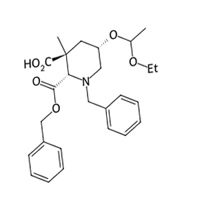 CCOC(C)O[C@@H]1CN(Cc2ccccc2)[C@H](C(=O)OCc2ccccc2)[C@@](C)(C(=O)O)C1